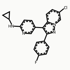 Fc1ccc(-c2nn3cc(Cl)ccc3c2-c2ccc(NC3CC3)nc2)cc1